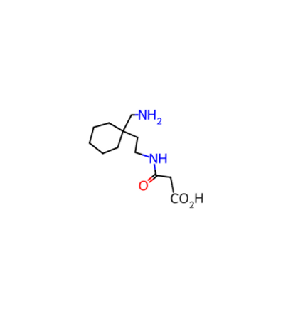 NCC1(CCNC(=O)CC(=O)O)CCCCC1